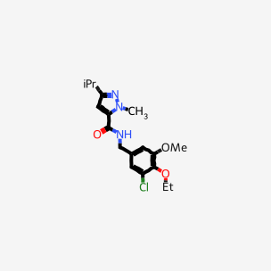 CCOc1c(Cl)cc(CNC(=O)c2cc(C(C)C)nn2C)cc1OC